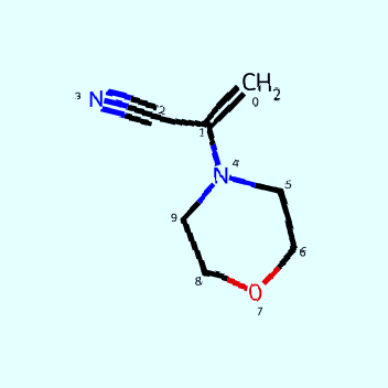 C=C(C#N)N1CCOCC1